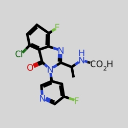 CC(NC(=O)O)c1nc2c(F)ccc(Cl)c2c(=O)n1-c1cncc(F)c1